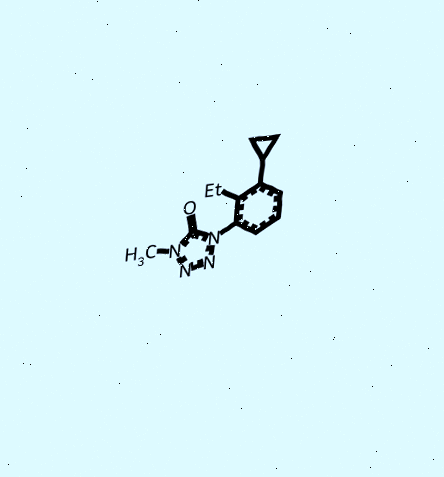 CCc1c(C2CC2)cccc1-n1nnn(C)c1=O